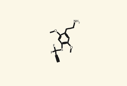 C#CC(F)(F)Sc1cc(OC)c(CCN)cc1OC